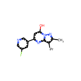 Cc1nn2c(O)cc(-c3cncc(F)c3)nc2c1C(C)C